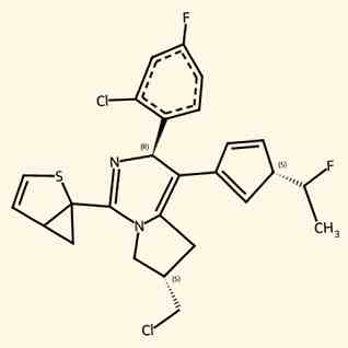 CC(F)[C@H]1C=CC(C2=C3C[C@H](CCl)CN3C(C34CC3C=CS4)=N[C@H]2c2ccc(F)cc2Cl)=C1